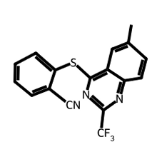 Cc1ccc2nc(C(F)(F)F)nc(Sc3ccccc3C#N)c2c1